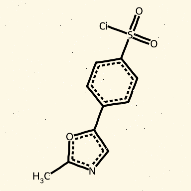 Cc1ncc(-c2ccc(S(=O)(=O)Cl)cc2)o1